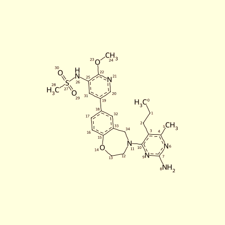 CCCc1c(C)nc(N)nc1N1CCOc2ccc(-c3cnc(OC)c(NS(C)(=O)=O)c3)cc2C1